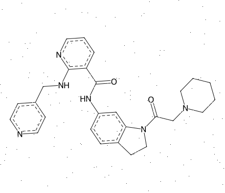 O=C(Nc1ccc2c(c1)N(C(=O)CN1CCCCC1)CC2)c1cccnc1NCc1ccncc1